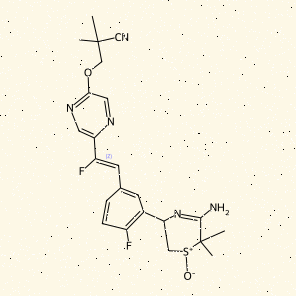 CC(C)(C#N)COc1cnc(/C(F)=C/c2ccc(F)c(C3C[S+]([O-])C(C)(C)C(N)=N3)c2)cn1